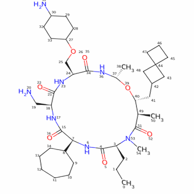 CCC[C@H]1C(=O)N[C@@H](C2CCCCCC2)C(=O)N[C@@H](CN)C(=O)N[C@@H](COC2CCC(N)CC2)C(=O)N[C@H](C)O[C@H](CC2CC3(CCC3)C2)[C@@H](C)C(=O)N1C